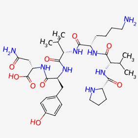 CC(C)[C@H](NC(=O)[C@H](CCCCN)NC(=O)[C@@H](NC(=O)[C@@H]1CCCN1)C(C)C)C(=O)N[C@@H](Cc1ccc(O)cc1)C(=O)N[C@@H](CC(N)=O)C(=O)O